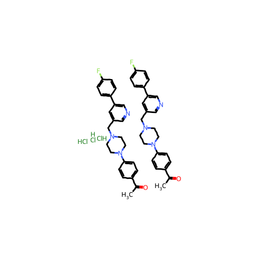 CC(=O)c1ccc(N2CCN(Cc3cncc(-c4ccc(F)cc4)c3)CC2)cc1.CC(=O)c1ccc(N2CCN(Cc3cncc(-c4ccc(F)cc4)c3)CC2)cc1.Cl.Cl.Cl